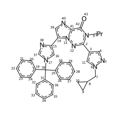 CC(C)n1c(-c2cnn(CC3CC3)c2)nn2c(-c3cn(C(c4ccccc4)(c4ccccc4)c4ccccc4)cn3)cnc2c1=O